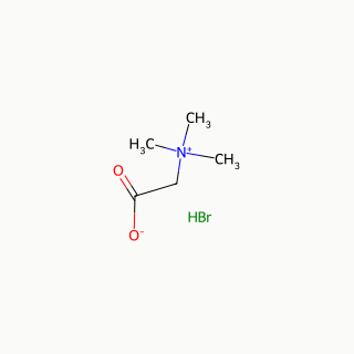 Br.C[N+](C)(C)CC(=O)[O-]